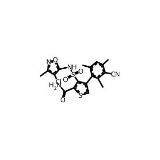 Cc1cc(C)c(-c2csc(C(N)=O)c2S(=O)(=O)Nc2onc(C)c2Cl)c(C)c1C#N